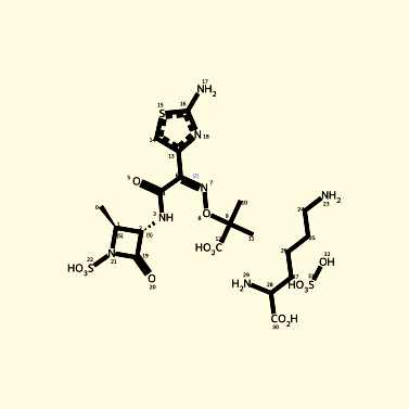 C[C@H]1[C@H](NC(=O)/C(=N\OC(C)(C)C(=O)O)c2csc(N)n2)C(=O)N1S(=O)(=O)O.NCCCCC(N)C(=O)O.O=S(=O)(O)O